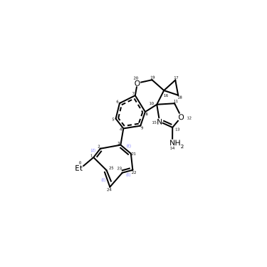 CCC1=C/C(c2ccc3c(c2)C2(COC(N)=N2)C2(CC2)CO3)=C\C=C\C=C\1